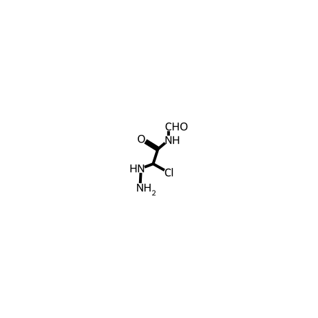 NNC(Cl)C(=O)NC=O